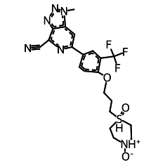 Cn1nnc2c(C#N)nc(-c3ccc(OCCC[SH]4(=O)CC[NH+]([O-])CC4)c(C(F)(F)F)c3)cc21